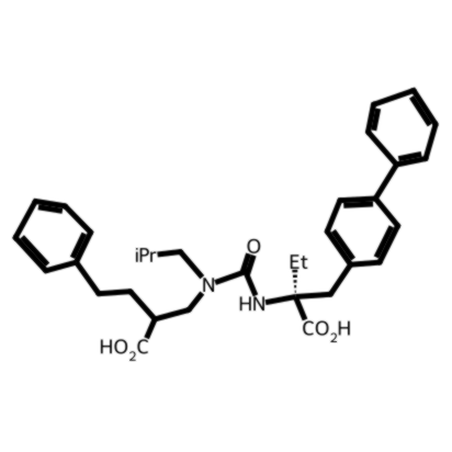 CC[C@@](Cc1ccc(-c2ccccc2)cc1)(NC(=O)N(CC(C)C)CC(CCc1ccccc1)C(=O)O)C(=O)O